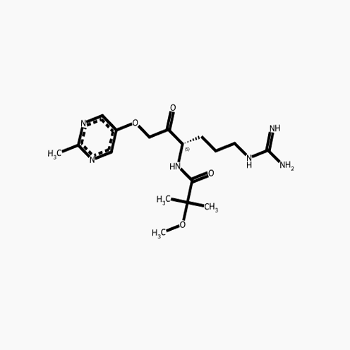 COC(C)(C)C(=O)N[C@@H](CCCNC(=N)N)C(=O)COc1cnc(C)nc1